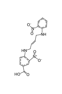 O=C(O)c1ccc(NC/C=C/CNc2ccccc2[N+](=O)[O-])c([N+](=O)[O-])c1